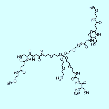 CCCOCCNC(=O)CCC(=O)NC(CS)C(=O)NCC(=O)NCCOCCOC(OCCOCCN)(OCCOCCNC(=O)CNC(=O)C(CS)NC(=O)CCC(=O)NCCOCCC)OCCOCCNC(=O)CNC(=O)C(CS)NC(C)(C)C